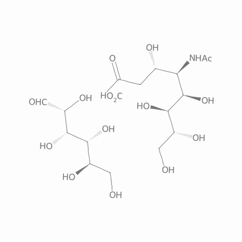 CC(=O)N[C@@H]([C@@H](O)[C@H](O)[C@H](O)CO)[C@@H](O)CC(=O)C(=O)O.O=C[C@H](O)[C@@H](O)[C@H](O)[C@H](O)CO